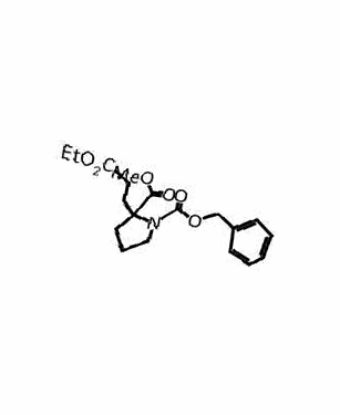 CCOC(=O)CCC1(C(=O)OC)CCCN1C(=O)OCc1ccccc1